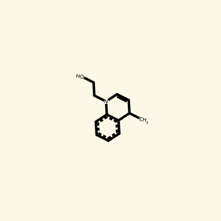 CC1C=CN(CCO)c2ccccc21